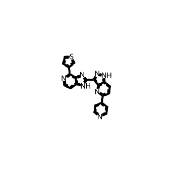 c1cc(-c2ccc3[nH]nc(-c4nc5c(-c6ccsc6)nccc5[nH]4)c3n2)ccn1